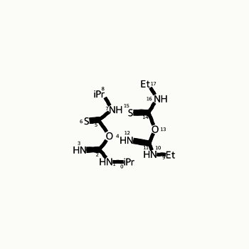 CC(C)NC(=N)OC(=S)NC(C)C.CCNC(=N)OC(=S)NCC